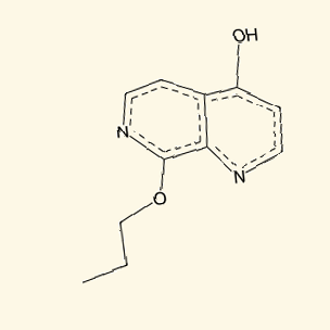 CCCOc1nccc2c(O)ccnc12